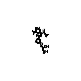 CNCC(O)COc1cccc(-c2cc(NC3CC3)c(C=N)c(NC(C)C)n2)c1